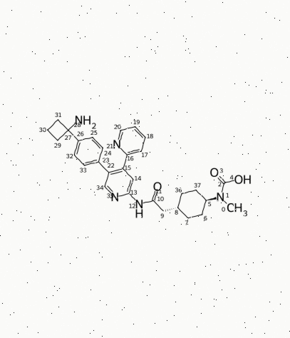 CN(C(=O)O)[C@H]1CC[C@H](CC(=O)Nc2cc(-c3ccccn3)c(-c3ccc(C4(N)CCC4)cc3)cn2)CC1